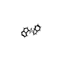 [CH3][Hf]([CH3])([CH]1CCC2CC=CC=C21)[CH]1CCC2CC=CC=C21